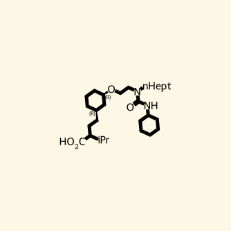 CCCCCCCN(CCO[C@@H]1CCC[C@H](CCC(C(=O)O)C(C)C)C1)C(=O)NC1CCCCC1